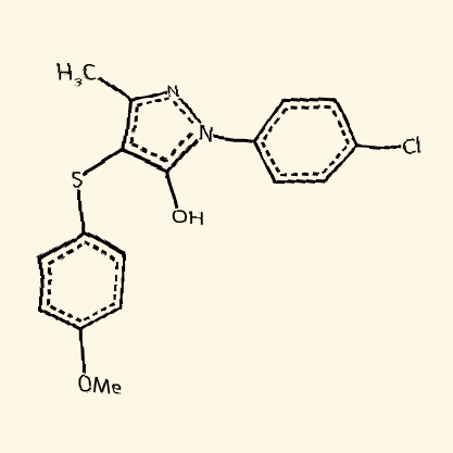 COc1ccc(Sc2c(C)nn(-c3ccc(Cl)cc3)c2O)cc1